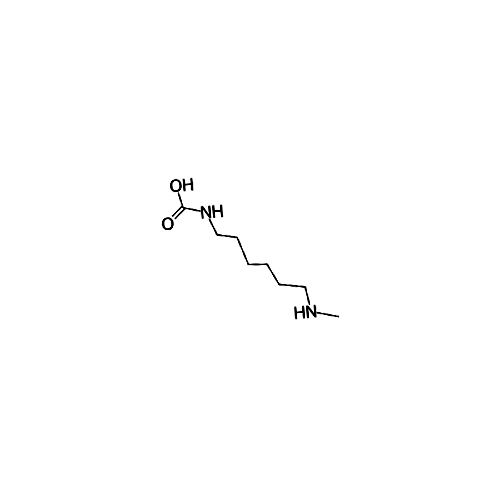 CNCCCCCCNC(=O)O